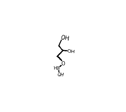 OBOCC(O)CO